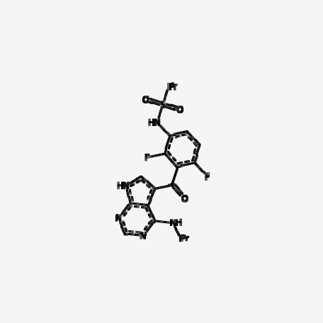 CC(C)Nc1ncnc2[nH]cc(C(=O)c3c(F)ccc(NS(=O)(=O)C(C)C)c3F)c12